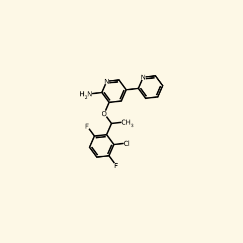 CC(Oc1cc(-c2ccccn2)cnc1N)c1c(F)ccc(F)c1Cl